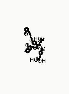 CCC(O)COC1CN(C(=O)c2ccc(CON(O)O)cc2)CC(OCc2cc(OC)c3ccccc3c2)C1c1ccc(OCCCOCc2ccccc2OC)cc1